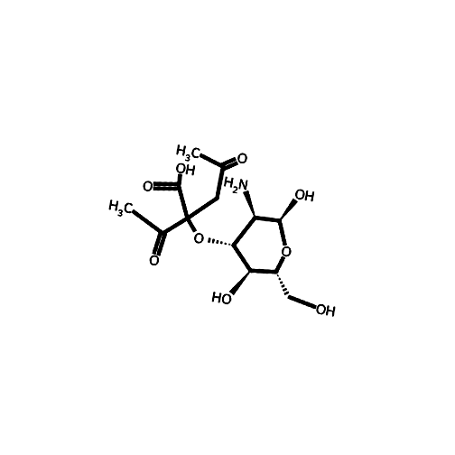 CC(=O)CC(O[C@@H]1[C@@H](N)[C@@H](O)O[C@H](CO)[C@H]1O)(C(C)=O)C(=O)O